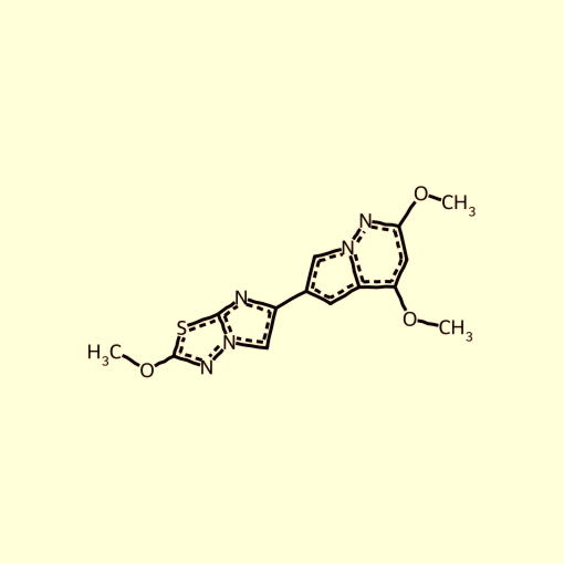 COc1cc(OC)c2cc(-c3cn4nc(OC)sc4n3)cn2n1